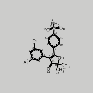 CC(=O)c1cc(F)cc(C2=C(c3ccc(S(N)(=O)=O)cc3)OC(C)(C)C2=O)c1